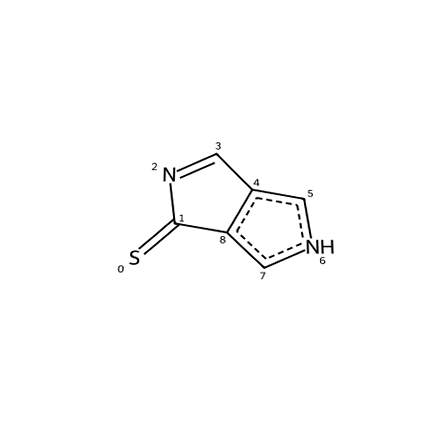 S=C1N=Cc2c[nH]cc21